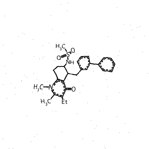 CCc1c(C)n(C)c2c(c1=O)C(Cc1cccc(-c3ccccc3)c1)C(NS(C)(=O)=O)CC2